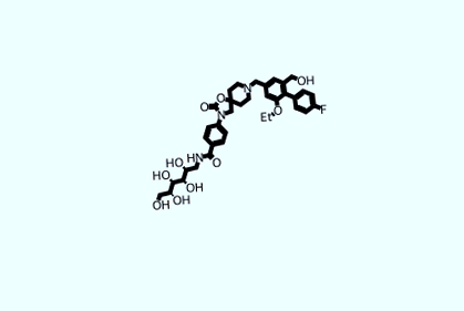 CCOc1cc(CN2CCC3(CC2)CN(c2ccc(C(=O)NC[C@H](O)[C@@H](O)[C@H](O)[C@H](O)CO)cc2)C(=O)O3)cc(CO)c1-c1ccc(F)cc1